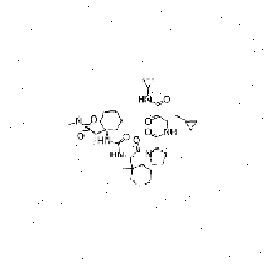 C[C@@H](C1(NC(=O)N[C@H](C(=O)N2CCC[C@H]2C(=O)N[C@@H](CC2CC2)C(=O)C(=O)NC2CC2)C2(C)CCCCC2)CCCCC1)S(=O)(=O)N(C)C